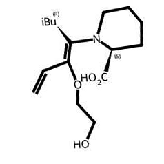 C=CC(OCCO)=C([C@H](C)CC)N1CCCC[C@H]1C(=O)O